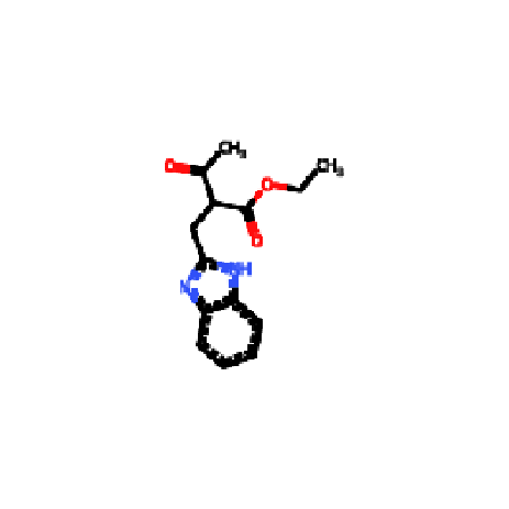 CCOC(=O)C(Cc1nc2ccccc2[nH]1)C(C)=O